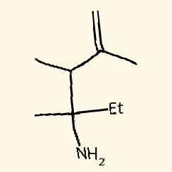 C=C(C)C(C)C(C)(N)CC